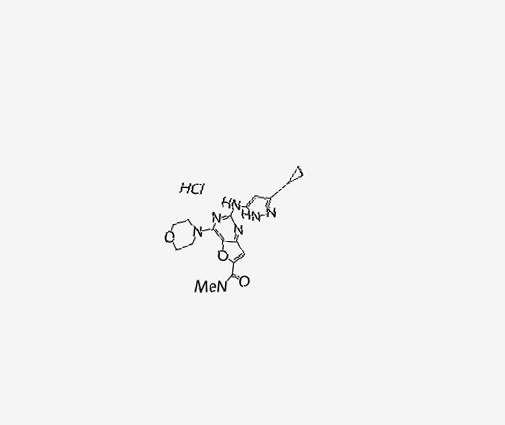 CNC(=O)c1cc2nc(Nc3cc(C4CC4)n[nH]3)nc(N3CCOCC3)c2o1.Cl